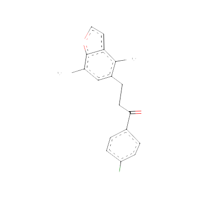 COc1c(CCC(=O)c2ccc(F)cc2)cc(OC)c2occc12